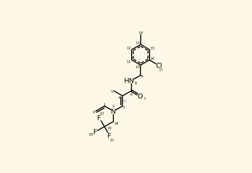 C=CN(/C=C(\C)C(=O)NCc1ccc(C)cc1Cl)CC(F)(F)F